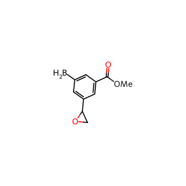 Bc1cc(C(=O)OC)cc(C2CO2)c1